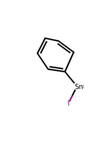 [I][Sn][c]1ccccc1